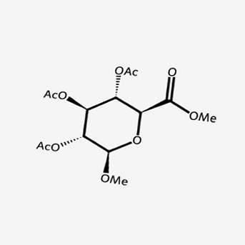 COC(=O)[C@H]1O[C@@H](OC)[C@H](OC(C)=O)[C@@H](OC(C)=O)[C@@H]1OC(C)=O